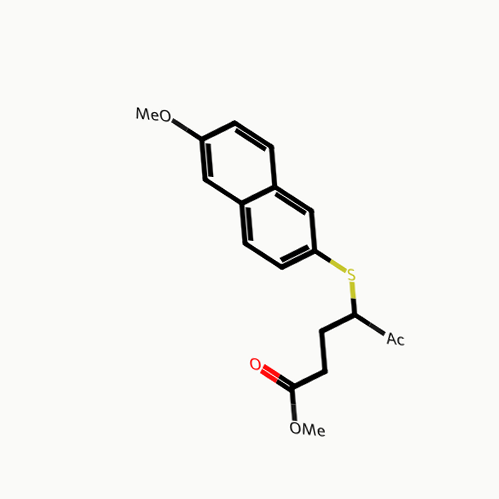 COC(=O)CCC(Sc1ccc2cc(OC)ccc2c1)C(C)=O